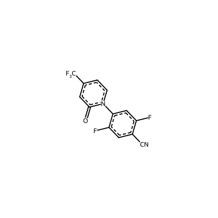 N#Cc1cc(F)c(-n2ccc(C(F)(F)F)cc2=O)cc1F